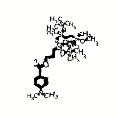 CO[Si](C)(C)CC[Si](C)(O[Si](C)(C)C)O[Si](C)(CCCOC(=O)c1ccc(N(C)C)cc1)O[Si](C)(C)C